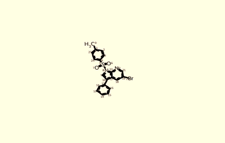 Cc1ccc(S(=O)(=O)n2cc(-c3cc[c]cc3)c3cc(Br)cnc32)cc1